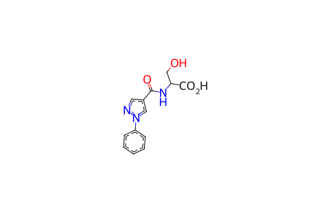 O=C(NC(CO)C(=O)O)c1cnn(-c2ccccc2)c1